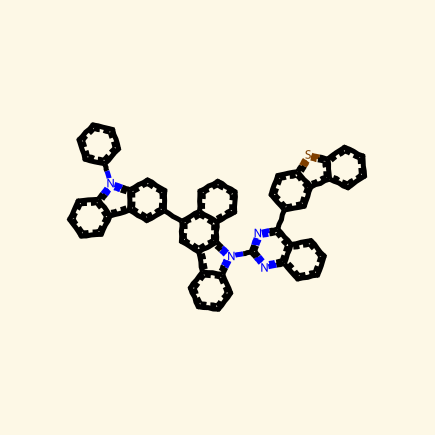 c1ccc(-n2c3ccccc3c3cc(-c4cc5c6ccccc6n(-c6nc(-c7ccc8sc9ccccc9c8c7)c7ccccc7n6)c5c5ccccc45)ccc32)cc1